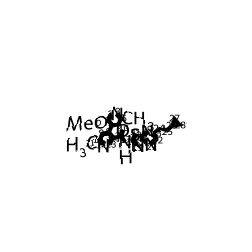 COc1cnc(C)cc1-c1cc(C)ncc1C(=O)Nc1nc2ncc(CCC3CC3)nc2s1